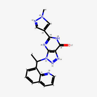 CC(c1cccc2cccnc12)n1nnc2c(=O)[nH]c(-c3cnn(C)c3)nc21